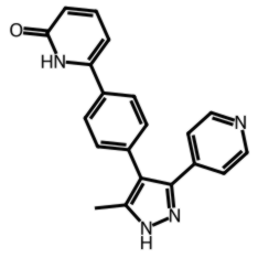 Cc1[nH]nc(-c2ccncc2)c1-c1ccc(-c2cccc(=O)[nH]2)cc1